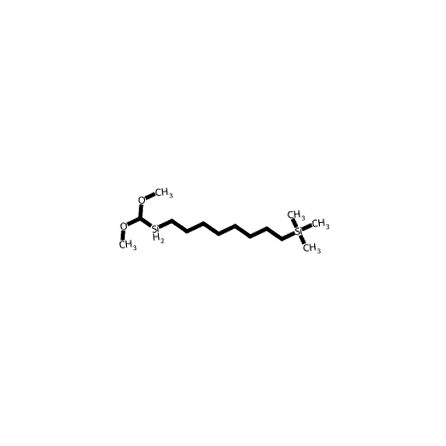 COC(OC)[SiH2]CCCCCCCC[Si](C)(C)C